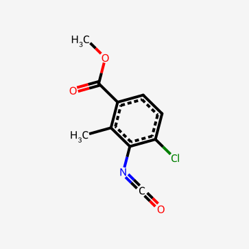 COC(=O)c1ccc(Cl)c(N=C=O)c1C